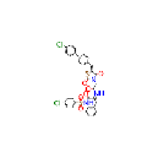 O=C(CN1C(=O)SC(=Cc2ccc(-c3ccc(Cl)cc3)cc2)C1=O)N[C@@H](Cc1ccccc1)C(=O)NS(=O)(=O)c1ccc(Cl)cc1